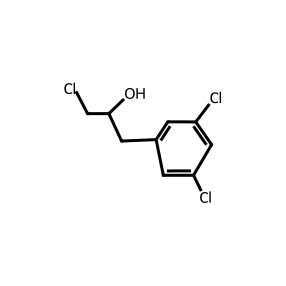 OC(CCl)Cc1cc(Cl)cc(Cl)c1